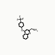 NCc1cc(Oc2ccc(C(F)(F)F)cc2)c2ccccc2n1